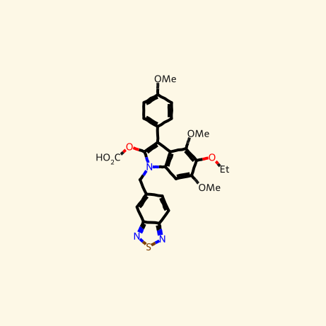 CCOc1c(OC)cc2c(c1OC)c(-c1ccc(OC)cc1)c(OC(=O)O)n2Cc1ccc2nsnc2c1